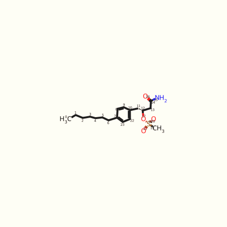 CCCCCCCc1ccc(C[C@H](CC(N)=O)OS(C)(=O)=O)cc1